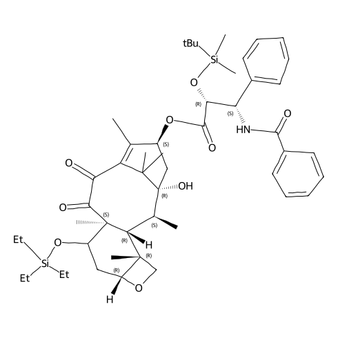 CC[Si](CC)(CC)OC1C[C@H]2OC[C@@]2(C)[C@H]2[C@H](C)[C@]3(O)C[C@H](OC(=O)[C@H](O[Si](C)(C)C(C)(C)C)[C@@H](NC(=O)c4ccccc4)c4ccccc4)C(C)=C(C(=O)C(=O)[C@]12C)C3(C)C